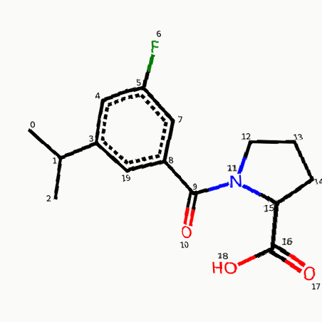 CC(C)c1cc(F)cc(C(=O)N2CCCC2C(=O)O)c1